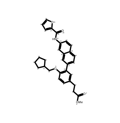 COC(=O)CCc1ccc(OCC2CCCC2)c(-c2ccc3ccc(NC(=O)c4ccco4)cc3c2)c1